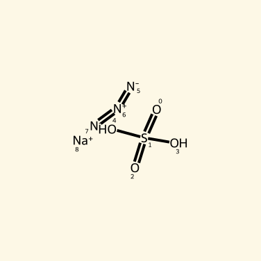 O=S(=O)(O)O.[N-]=[N+]=[N-].[Na+]